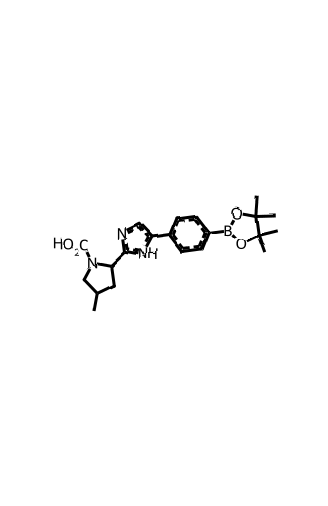 CC1CC(c2ncc(-c3ccc(B4OC(C)(C)C(C)(C)O4)cc3)[nH]2)N(C(=O)O)C1